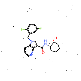 O=C(N[C@H]1CCCC[C@@H]1O)c1cn(Cc2cc(F)ccc2F)c2cccnc12